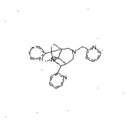 CN1C(c2ccccn2)C2CN(Cc3ccccn3)CC(C)(C2=O)C1(C)c1ccccn1